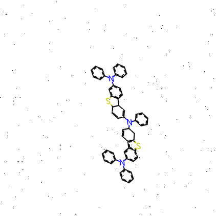 C1=CC2Sc3cc(N(c4ccccc4)c4ccccc4)ccc3C2C=C1N(c1ccccc1)C1C=Cc2c(sc3ccc(N(c4ccccc4)c4ccccc4)cc23)C1